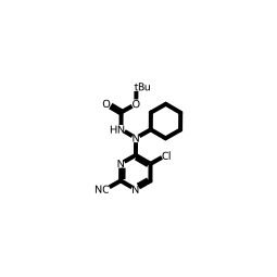 CC(C)(C)OC(=O)NN(c1nc(C#N)ncc1Cl)C1CCCCC1